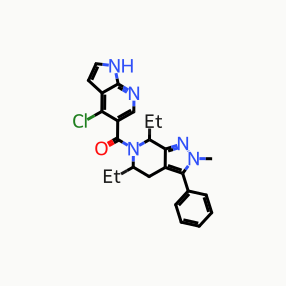 CCC1Cc2c(nn(C)c2-c2ccccc2)C(CC)N1C(=O)c1cnc2[nH]ccc2c1Cl